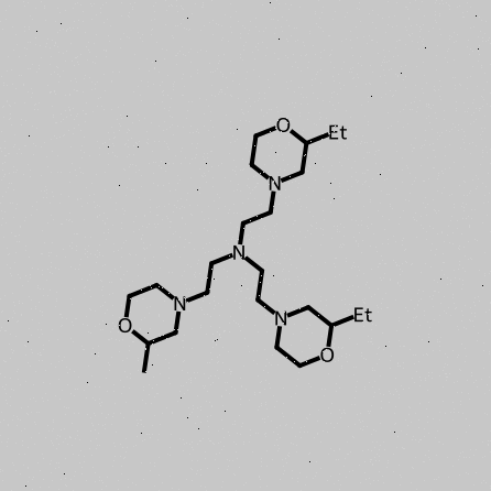 CCC1CN(CCN(CCN2CCOC(C)C2)CCN2CCOC(CC)C2)CCO1